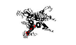 CCC(C)(C)c1cc2c3c(c1)Oc1cc4c(cc1B3c1cc3c(cc1O2)Nc1cc(C(C)(C)CC)cc2c1B3c1cc(C(C)(C)C)ccc1N2c1ccc(C(C)(C)C)cc1)B1c2cc(C(C)(C)C)ccc2N(c2ccc(C(C)(C)C)cc2)c2cc(C(C)(C)CC)cc(c21)N4c1c(C)cc(C)cc1C